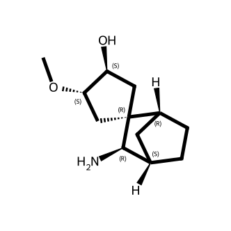 CO[C@H]1C[C@]2(C[C@@H]1O)[C@@H]1CC[C@@H](C1)[C@H]2N